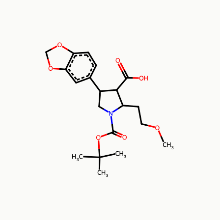 COCCC1C(C(=O)O)C(c2ccc3c(c2)OCO3)CN1C(=O)OC(C)(C)C